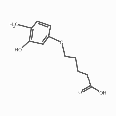 Cc1ccc(OCCCCC(=O)O)cc1O